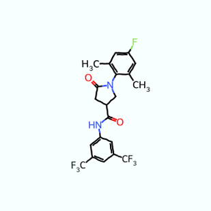 Cc1cc(F)cc(C)c1N1CC(C(=O)Nc2cc(C(F)(F)F)cc(C(F)(F)F)c2)CC1=O